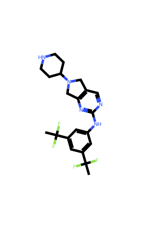 CC(F)(F)c1cc(Nc2ncc3c(n2)CN(C2CCNCC2)C3)cc(C(C)(F)F)c1